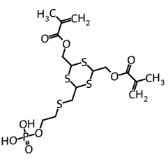 C=C(C)C(=O)OCC1SC(COC(=O)C(=C)C)SC(CSCCOP(=O)(O)O)S1